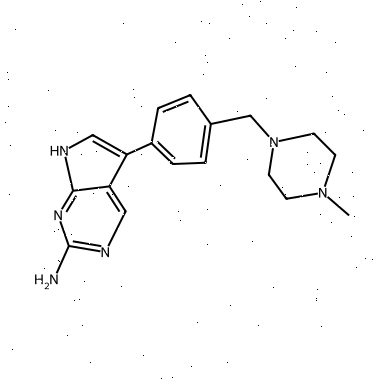 CN1CCN(Cc2ccc(-c3c[nH]c4nc(N)ncc34)cc2)CC1